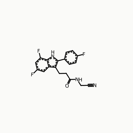 N#CCNC(=O)CCc1c(-c2ccc(F)cc2)[nH]c2c(F)cc(F)cc12